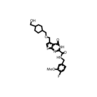 COc1cc(CNC(=O)c2nc3scc(COCC4CCC(CO)CC4)c3c(=O)[nH]2)ccc1F